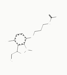 NCC1OB(O)c2c(OCCCNC(=O)O)ccc(Cl)c21